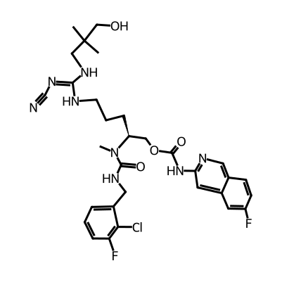 CN(C(=O)NCc1cccc(F)c1Cl)[C@@H](CCCN/C(=N\C#N)NCC(C)(C)CO)COC(=O)Nc1cc2cc(F)ccc2cn1